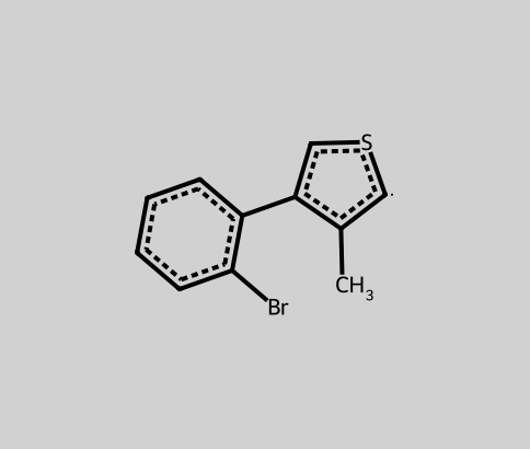 Cc1[c]scc1-c1ccccc1Br